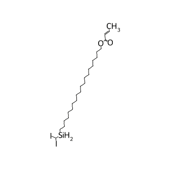 CC=CC(=O)OCCCCCCCCCCCCCCCCCCCC[SiH2]C(I)I